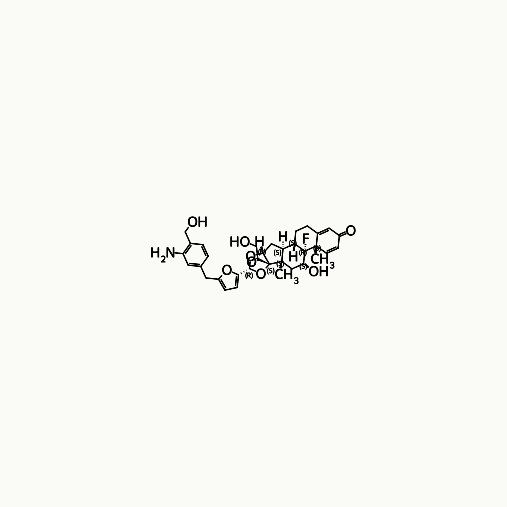 C[C@]12C=CC(=O)C=C1CC[C@H]1[C@@H]3C[C@H]4O[C@@H](c5ccc(Cc6ccc(CO)c(N)c6)o5)O[C@@]4(C(=O)CO)[C@@]3(C)C[C@H](O)[C@@]12F